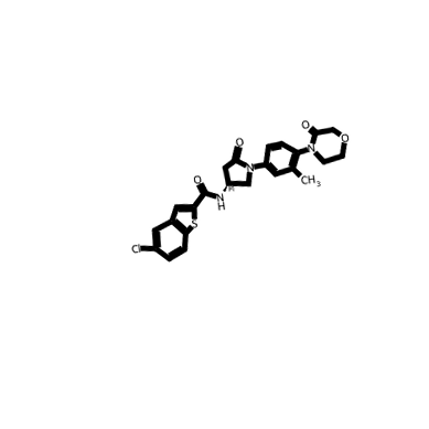 Cc1cc(N2C[C@H](NC(=O)c3cc4cc(Cl)ccc4s3)CC2=O)ccc1N1CCOCC1=O